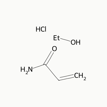 C=CC(N)=O.CCO.Cl